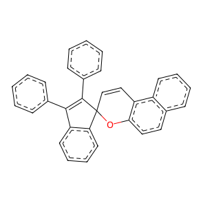 C1=CC2(Oc3ccc4ccccc4c31)C(c1ccccc1)=C(c1ccccc1)c1ccccc12